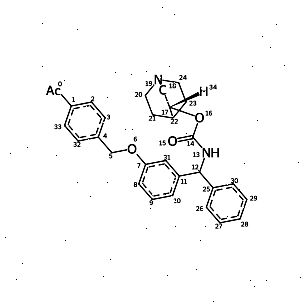 CC(=O)c1ccc(COc2cccc(C(NC(=O)O[C@H]3CN4CCC3CC4)c3ccccc3)c2)cc1